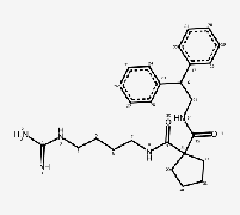 N=C(N)NCCCCNC(=O)C1(C(=O)NCC(c2ccccc2)c2ccccc2)CCCC1